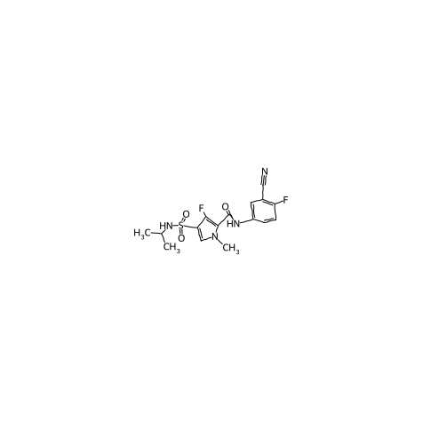 CC(C)NS(=O)(=O)c1cn(C)c(C(=O)Nc2ccc(F)c(C#N)c2)c1F